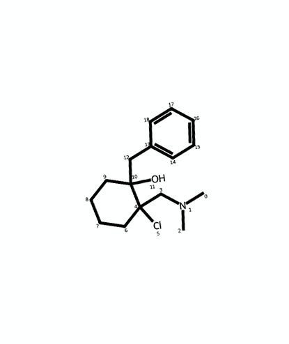 CN(C)CC1(Cl)CCCCC1(O)Cc1ccccc1